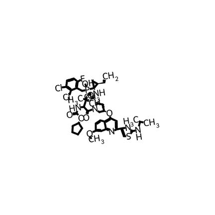 C=C[C@@H]1C[C@]1(NC(=O)[C@@H]1C[C@@H](Oc2cc(-c3csc(NC(C)C)n3)nc3cc(OC)ccc23)CN1C(=O)C(NC(=O)OC1CCCC1)C(C)(C)C)P(=O)(O)Cc1c(F)ccc(Cl)c1Cl